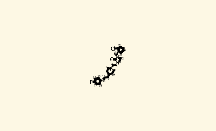 O=C1N(CCN2CCC(CCOc3ccc(F)cc3)CC2)CCN1Oc1ccccc1Cl